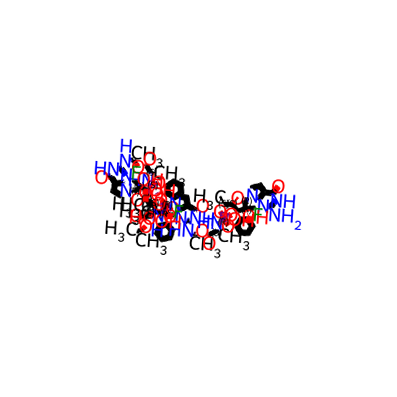 CC(C)OC(=O)[C@H](C)NP(=O)(Oc1ccccc1)O[C@@H](C)[C@H]1O[C@@H](n2ccc3c(=O)[nH]c(NC(C)OC(=O)[C@H](C)N[P@@](=O)(Oc4ccccc4)O[C@@H](C)[C@H]4O[C@@H](n5ccc6c(=O)[nH]c(NC(C)OC(=O)[C@H](C)N[P@](=O)(Oc7ccccc7)O[C@@H](C)[C@H]7O[C@@H](n8ccc9c(=O)[nH]c(N)nc98)[C@@](O)(CF)C7O)nc65)[C@@](O)(CF)C4O)nc32)[C@@](O)(CF)C1O